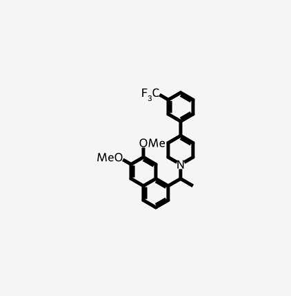 COc1cc2cccc(C(C)N3CC=C(c4cccc(C(F)(F)F)c4)CC3)c2cc1OC